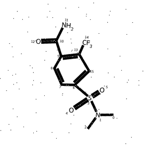 CN(C)S(=O)(=O)c1ccc(C(N)=O)c(C(F)(F)F)c1